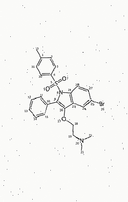 Cc1ccc(S(=O)(=O)n2c(-c3ccccc3)c(OCCN(C)C)c3cc(Br)ccc32)cc1